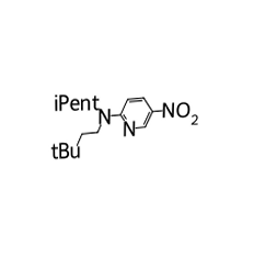 CCCC(C)N(CCC(C)(C)C)c1ccc([N+](=O)[O-])cn1